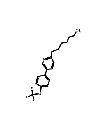 CCCCCCCc1ccc(-c2ccc(OC(F)(F)F)cc2)cn1